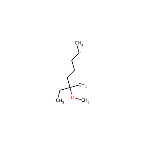 C[CH]CCCC(C)(CC)OC